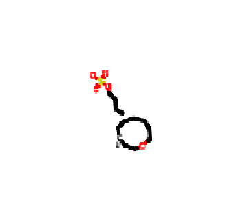 C1CCCCOCCCC1.CCCCOS(=O)(=O)[O-].[Li+]